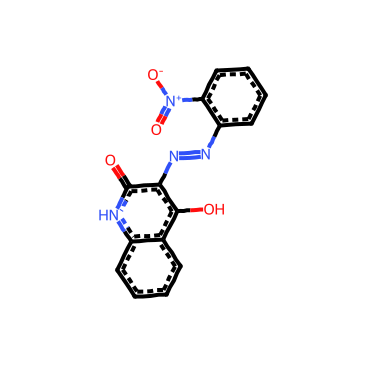 O=c1[nH]c2ccccc2c(O)c1N=Nc1ccccc1[N+](=O)[O-]